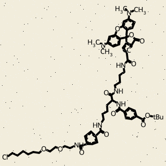 CN(C)c1ccc2c(c1)Oc1cc(N(C)C)ccc1C21OC(=O)c2cc(C(=O)NCCCCNC(=O)C(CCCCNC(=O)c3ccc(C(=O)NCCOCCOCCCCCCCl)cc3)NC(=O)c3ccc(C(=O)OC(C)(C)C)cc3)ccc21